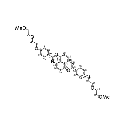 COCCOCCOc1ccc(C2=Nc3ccc4c5c(ccc(c35)O2)N=C(c2ccc(OCCOCCOC)cc2)O4)cc1